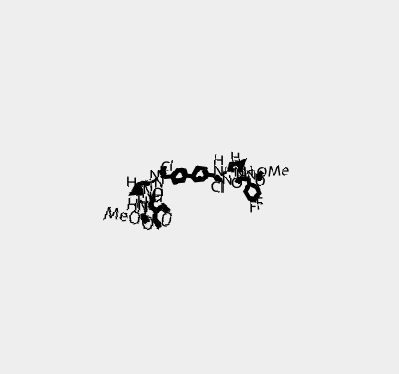 COC(=O)N[C@H](C(=O)N1[C@@H]2C[C@@H]2C[C@H]1c1nc(Cl)c(-c2ccc(-c3ccc(-c4[nH]c([C@@H]5C[C@H]6C[C@H]6N5C(=O)[C@@H](NC(=O)OC)C5CCC(F)(F)CC5)nc4Cl)cc3)cc2)[nH]1)C1CCOCC1